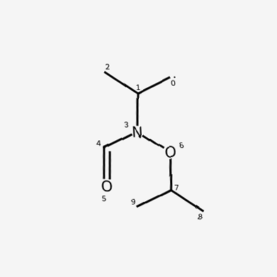 [CH2]C(C)N(C=O)OC(C)C